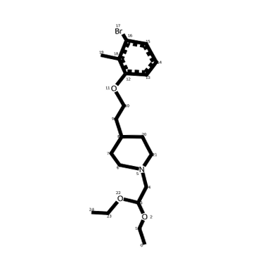 CCOC(CN1CCC(CCOc2cccc(Br)c2C)CC1)OCC